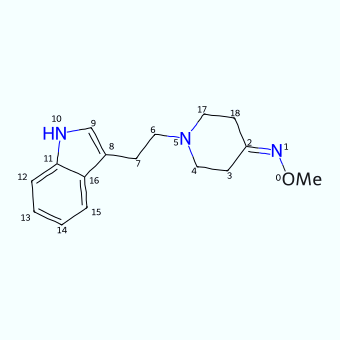 CON=C1CCN(CCc2c[nH]c3ccccc23)CC1